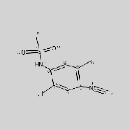 [C-]#[N+]c1cc(I)c(NS(C)(=O)=O)cc1C